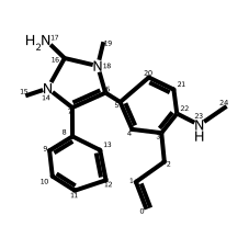 C=CCc1cc(C2=C(c3ccccc3)N(C)C(N)N2C)ccc1NC